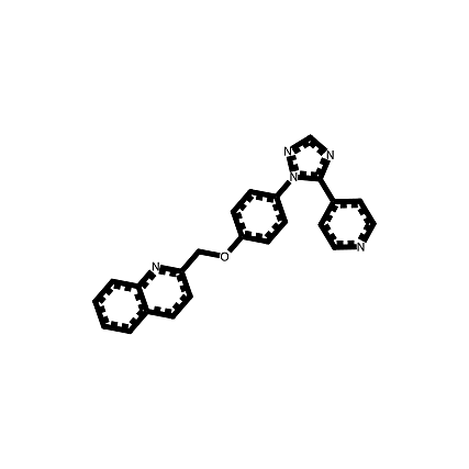 c1ccc2nc(COc3ccc(-n4ncnc4-c4ccncc4)cc3)ccc2c1